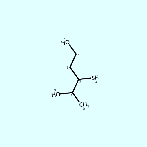 CC(O)C(S)CCO